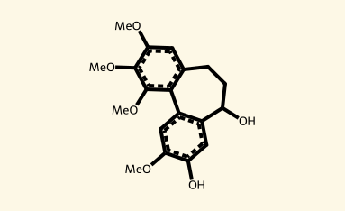 COc1cc2c(cc1O)C(O)CCc1cc(OC)c(OC)c(OC)c1-2